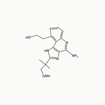 COCC(C)(C)c1nc2c(N)nc3cccc(CCO)c3c2[nH]1